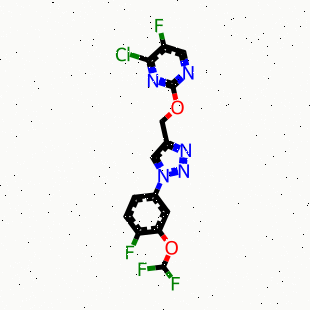 Fc1ccc(-n2cc(COc3ncc(F)c(Cl)n3)nn2)cc1OC(F)F